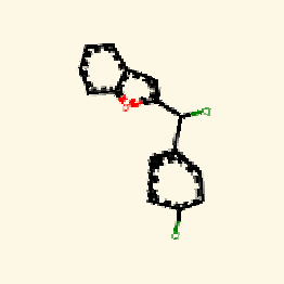 Clc1ccc(C(Cl)c2cc3ccccc3o2)cc1